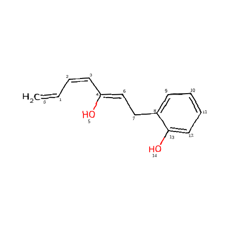 C=C/C=C\C(O)=C\Cc1ccccc1O